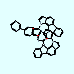 c1ccc(-c2ccc(-c3nc(-n4c5ccccc5c5ccc6ccn(-c7ccccc7)c6c54)nc(-n4c5ccccc5c5ccc6ccn(-c7ccccc7)c6c54)n3)cc2)cc1